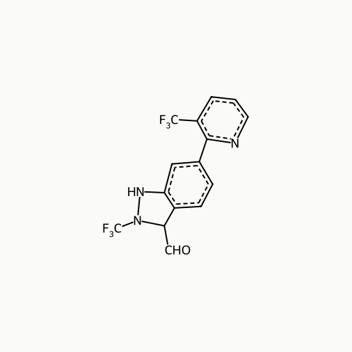 O=CC1c2ccc(-c3ncccc3C(F)(F)F)cc2NN1C(F)(F)F